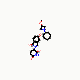 COC1CN([C@H]2CCCCC[C@H]2Oc2ccc3c(c2)CN(C2CCC(=O)NC2=O)C3=O)C1